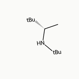 C[C@H](NC(C)(C)C)C(C)(C)C